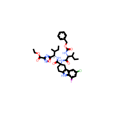 CCOC(=O)c1noc([C@@H](NC(=O)[C@@]2(NC(=O)[C@@H](NC(=O)OCc3ccccc3)C(C)CC)CCc3[nH]c4c(I)cc(Cl)cc4c3C2)C(C)CC)n1